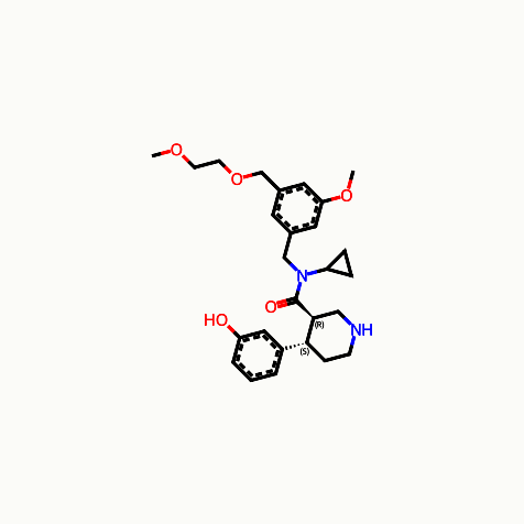 COCCOCc1cc(CN(C(=O)[C@H]2CNCC[C@@H]2c2cccc(O)c2)C2CC2)cc(OC)c1